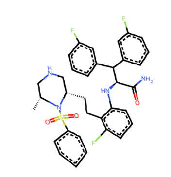 C[C@@H]1CNC[C@H](CCc2c(F)cccc2N[C@H](C(N)=O)C(c2cccc(F)c2)c2cccc(F)c2)N1S(=O)(=O)c1ccccc1